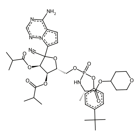 CC(C)C(=O)O[C@H]1[C@@H](OC(=O)C(C)C)C(C#N)(c2ccc3c(N)ncnn23)O[C@@H]1COP(=O)(N[C@@H](C)C(=O)OC1CCOCC1)Oc1ccc(C(C)(C)C)cc1